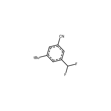 CC(C)(C)c1cc(C#N)cc(C(F)F)c1